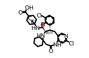 O=C1CC2(CCCCC2)N[C@@H](C(=O)NC23CCC(C(=O)O)(CC2)CC3)[C@H](c2cccc(Cl)c2F)Cc2cnc(Cl)cc2N1